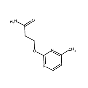 Cc1[c]cnc(OCCC(N)=O)n1